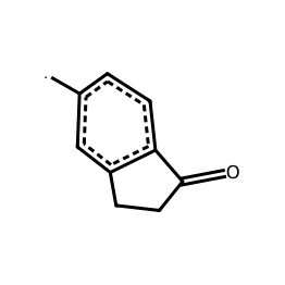 [CH2]c1ccc2c(c1)CCC2=O